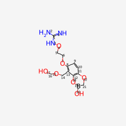 N=C(N)NOCCOc1ccc2c(c1COCO)OB(O)CO2